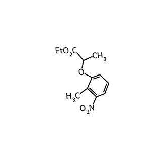 CCOC(=O)C(C)Oc1cccc([N+](=O)[O-])c1C